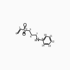 C=CS(=O)(=O)CCC[N]c1ccccc1